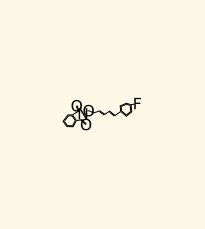 O=C1c2ccccc2C(=O)N1OCC=CC=Cc1ccc(F)cc1